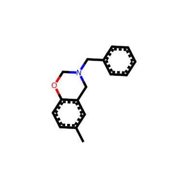 Cc1ccc2c(c1)CN(Cc1ccccc1)CO2